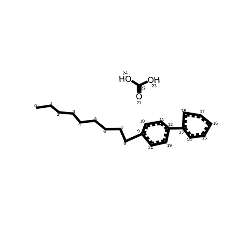 CCCCCCCCCc1ccc(-c2ccccc2)cc1.O=C(O)O